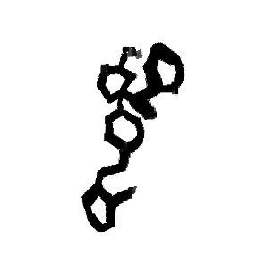 C[C@H]1C[C@@](C(=O)c2ccccn2)(N2CCN(CCc3ccccc3F)CC2)CCO1